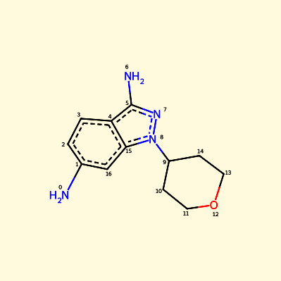 Nc1ccc2c(N)nn(C3CCOCC3)c2c1